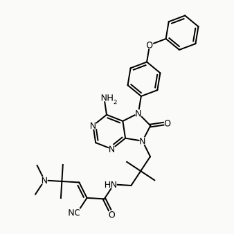 CN(C)C(C)(C)C=C(C#N)C(=O)NCC(C)(C)Cn1c(=O)n(-c2ccc(Oc3ccccc3)cc2)c2c(N)ncnc21